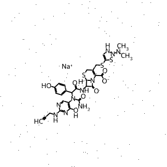 C#CCNc1ncc(N(C(N)=O)C(C(=O)NC2C(=O)N3C(C(=O)[O-])=C(CSC4=CNN(N(C)C)S4)CS[C@H]23)c2ccc(O)cc2)c(O)n1.[Na+]